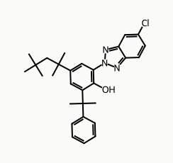 CC(C)(C)CC(C)(C)c1cc(-n2nc3ccc(Cl)cc3n2)c(O)c(C(C)(C)c2ccccc2)c1